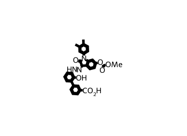 COC(=O)Oc1ccc2c(c1)N(c1ccc(C)c(C)c1)C(=O)C2=NNc1cccc(-c2cccc(C(=O)O)c2)c1O